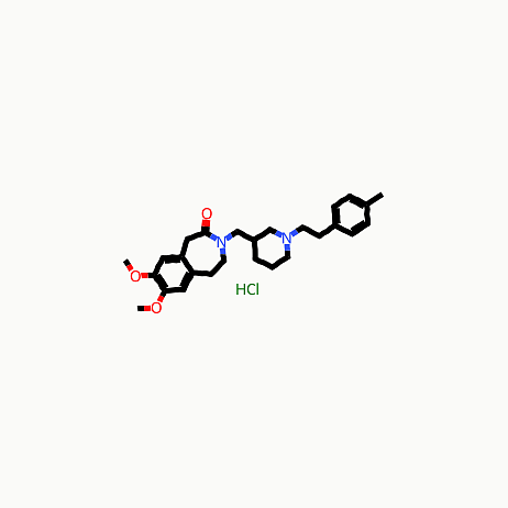 COc1cc2c(cc1OC)CC(=O)N(CC1CCCN(CCc3ccc(C)cc3)C1)CC2.Cl